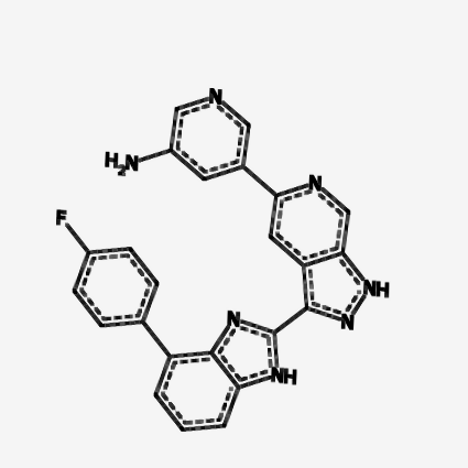 Nc1cncc(-c2cc3c(-c4nc5c(-c6ccc(F)cc6)cccc5[nH]4)n[nH]c3cn2)c1